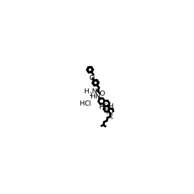 CC(C)CCC[C@@H](C)[C@H]1CC[C@H]2[C@@H]3CCC4C[C@H](NC(=O)[C@@H](N)Cc5ccc(OCc6ccccc6)cc5)CC[C@]4(C)[C@H]3CC[C@]12C.Cl